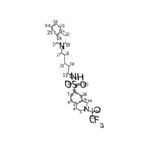 O=C(N1CCc2ccc(S(=O)(=O)NCCCCCN3CCc4ccccc4C3)cc2C1)C(F)(F)F